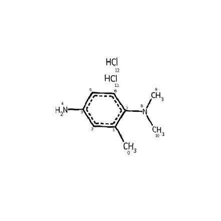 Cc1cc(N)ccc1N(C)C.Cl.Cl